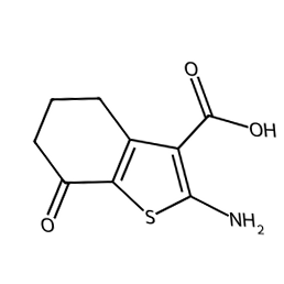 Nc1sc2c(c1C(=O)O)CCCC2=O